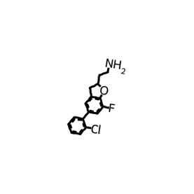 NCCC1Cc2cc(-c3ccccc3Cl)cc(F)c2O1